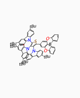 CC(C)(C)c1ccc2c(c1)c1cc(C(C)(C)C)ccc1n2-c1sc(-c2cc3c4c(c2)Oc2ccccc2B4c2ccccc2O3)c(-n2c3ccc(C(C)(C)C)cc3c3cc(C(C)(C)C)ccc32)c1-n1c2ccc(C(C)(C)C)cc2c2cc(C(C)(C)C)ccc21